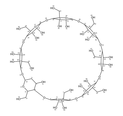 OCC1CC2OC3C(O)CC(OC3CO)OC3C(CO)OC(OC4C(CO)OC(OC5C(CO)OC(OC6C(CO)OC(OC7C(CO)OC(OC8C(CO)OC(OC1C(O)C2O)C(O)C8O)C(O)C7O)C(O)C6O)C(O)C5O)C(O)C4O)C(O)C3O